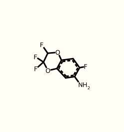 Nc1cc2c(cc1F)OC(F)C(F)(F)O2